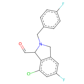 O=CC1c2c(Cl)cc(F)cc2CN1Cc1ccc(F)cc1